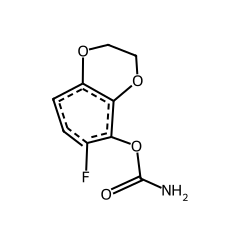 NC(=O)Oc1c(F)ccc2c1OCCO2